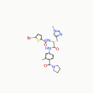 Cc1cc(NC(=O)[C@@H](Cc2cn(C)cn2)NC(=O)c2ccc(Br)s2)ccc1C(=O)N1CCCC1